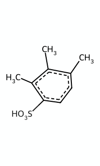 Cc1ccc(S(=O)(=O)O)c(C)c1C